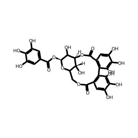 O=C(O[C@@H]1OC2COC(=O)c3cc(O)c(O)c(O)c3-c3c(cc(O)c(O)c3O)C(=O)O[C@H](C1O)[C@@H]2O)c1cc(O)c(O)c(O)c1